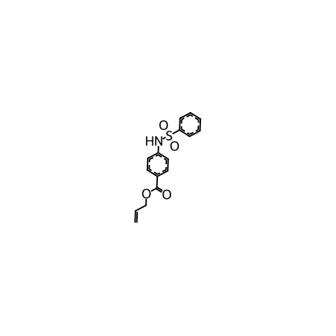 C=CCOC(=O)c1ccc(NS(=O)(=O)c2ccccc2)cc1